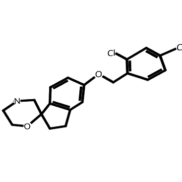 Clc1ccc(COc2ccc3c(c2)CCC32C[N]CCO2)c(Cl)c1